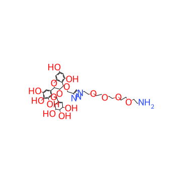 NCCOCCOCCOCCOCCn1cc(COC2c3c(O)cc(O)cc3OC(c3cc(O)c(O)c(O)c3)C2OC(=O)C2=CC(O)C(O)C(O)C2)nn1